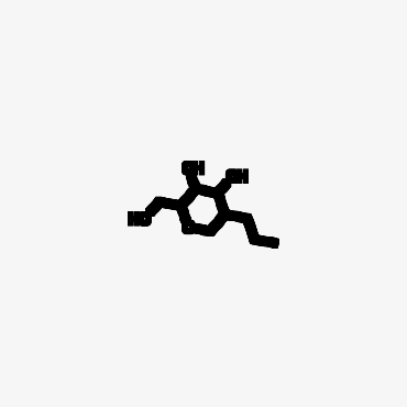 CCCC1COC(CO)C(O)C1O